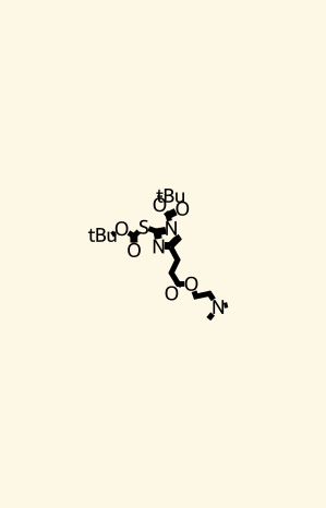 CN(C)CCOC(=O)CCc1cn(C(=O)OC(C)(C)C)c(SC(=O)OC(C)(C)C)n1